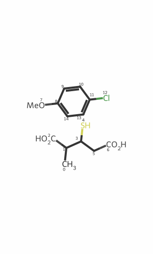 CC(C(=O)O)C(S)CC(=O)O.COc1ccc(Cl)cc1